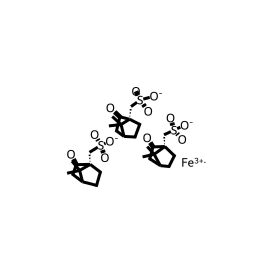 CC1(C)C2CC[C@]1(CS(=O)(=O)[O-])C(=O)C2.CC1(C)C2CC[C@]1(CS(=O)(=O)[O-])C(=O)C2.CC1(C)C2CC[C@]1(CS(=O)(=O)[O-])C(=O)C2.[Fe+3]